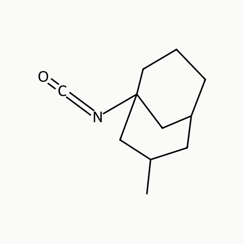 CC1CC2CCCC(N=C=O)(C1)C2